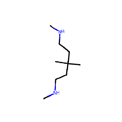 CNCCC(C)(C)CCNC